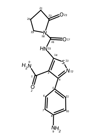 NC(=O)c1c(-c2ccc(N)cc2)nsc1NC(=O)N1CCCC1=O